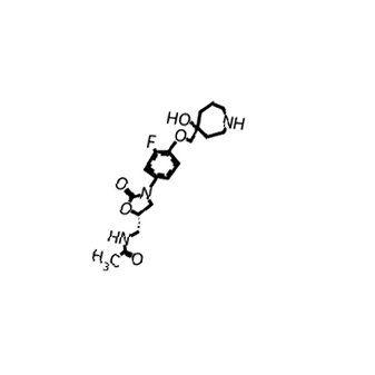 CC(=O)NC[C@H]1CN(c2ccc(OCC3(O)CCCNCC3)c(F)c2)C(=O)O1